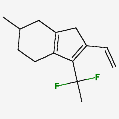 C=CC1=C(C(C)(F)F)C2=C(C1)CC(C)CC2